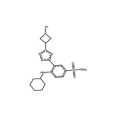 CNS(=O)(=O)c1ccc(NC2CCCCC2)c(-c2nnn(C3CN(C(C)C)C3)n2)c1